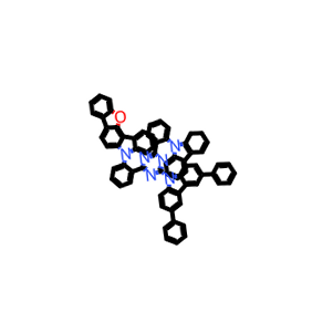 C1=Cc2c(n(-c3ccccc3-c3nc(-c4ccccc4-n4c5ccccc5c5c6oc7ccccc7c6ccc54)nc(-n4c5ccc(-c6ccccc6)cc5c5cc(-c6ccccc6)ccc54)n3)c3ccccc23)CC1